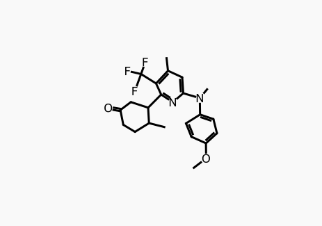 COc1ccc(N(C)c2cc(C)c(C(F)(F)F)c(C3CC(=O)CCC3C)n2)cc1